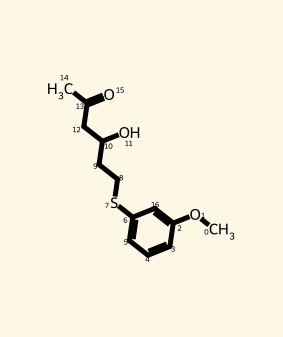 COc1cccc(SCCC(O)CC(C)=O)c1